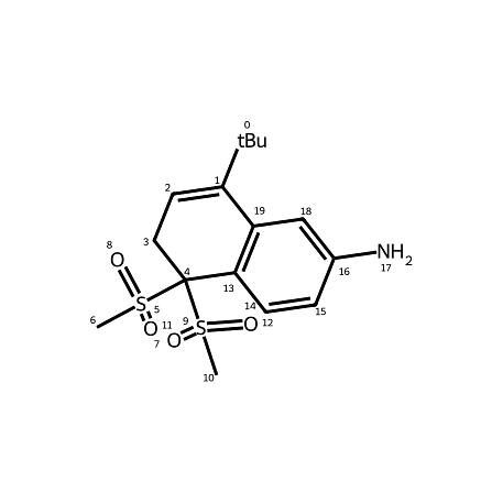 CC(C)(C)C1=CCC(S(C)(=O)=O)(S(C)(=O)=O)c2ccc(N)cc21